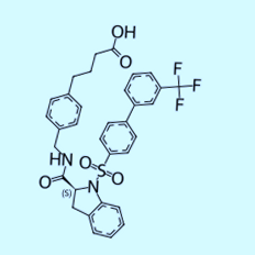 O=C(O)CCCc1ccc(CNC(=O)[C@@H]2Cc3ccccc3N2S(=O)(=O)c2ccc(-c3cccc(C(F)(F)F)c3)cc2)cc1